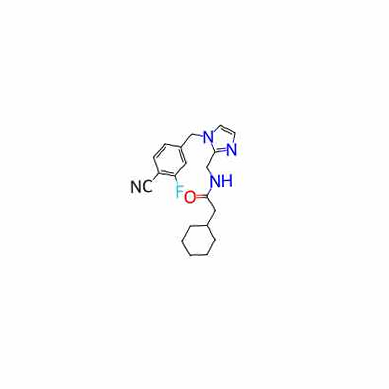 N#Cc1ccc(Cn2ccnc2CNC(=O)CC2CCCCC2)cc1F